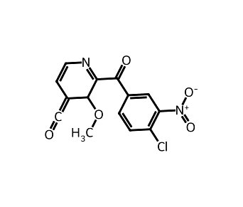 COC1C(=C=O)C=CN=C1C(=O)c1ccc(Cl)c([N+](=O)[O-])c1